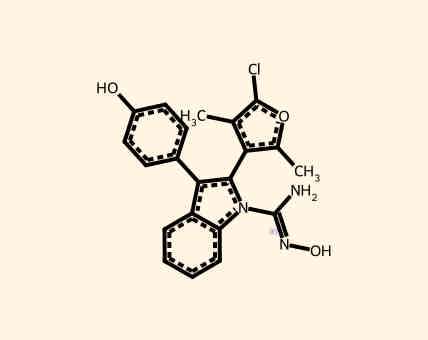 Cc1oc(Cl)c(C)c1-c1c(-c2ccc(O)cc2)c2ccccc2n1/C(N)=N/O